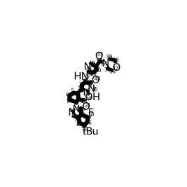 Cn1nc(-c2cccc(-n3ncc4cc(C(C)(C)C)cc(F)c4c3=O)c2CO)cc(Nc2ccc(C(=O)N3CCOCC3)cn2)c1=O